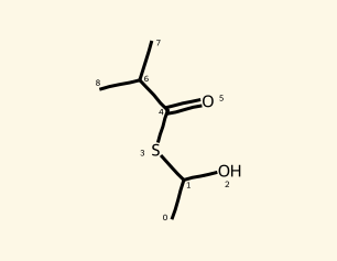 CC(O)SC(=O)C(C)C